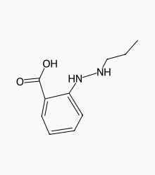 CCCNNc1ccccc1C(=O)O